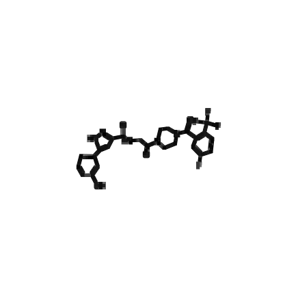 O=C(NCC(=O)N1CCN(C(=O)c2cc(F)ccc2C(F)(F)F)CC1)c1cc(-c2cccc(O)c2)[nH]n1